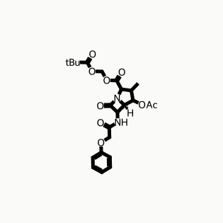 CC(=O)OC1C(C)C(C(=O)OCOC(=O)C(C)(C)C)N2C(=O)C(NC(=O)COc3ccccc3)[C@@H]12